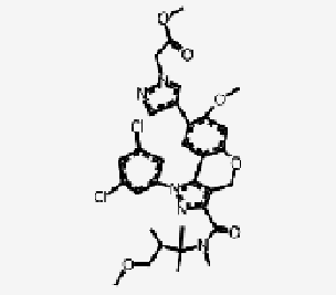 COCC(C)C(C)(C)N(C)C(=O)c1nn(-c2cc(Cl)cc(Cl)c2)c2c1COc1cc(OC)c(-c3cnn(CC(=O)OC)c3)cc1-2